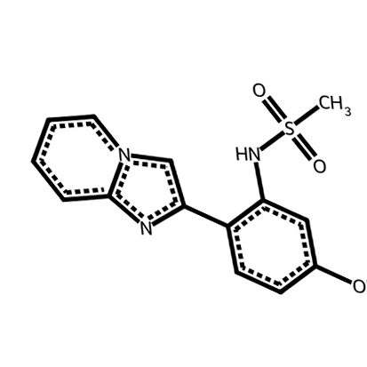 CS(=O)(=O)Nc1cc(O)ccc1-c1cn2ccccc2n1